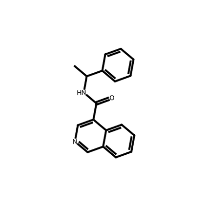 CC(NC(=O)c1cncc2ccccc12)c1ccccc1